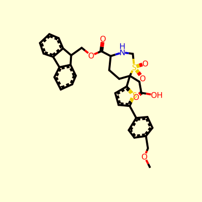 COCc1ccc(-c2ccc(C3(CC(=O)O)CCC(C(=O)OCC4c5ccccc5-c5ccccc54)NCS3(=O)=O)s2)cc1